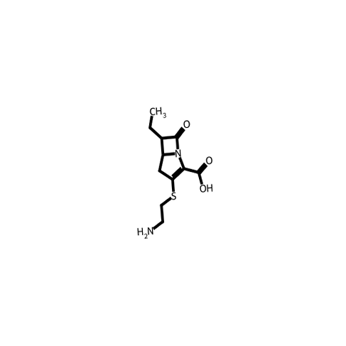 CCC1C(=O)N2C(C(=O)O)=C(SCCN)CC12